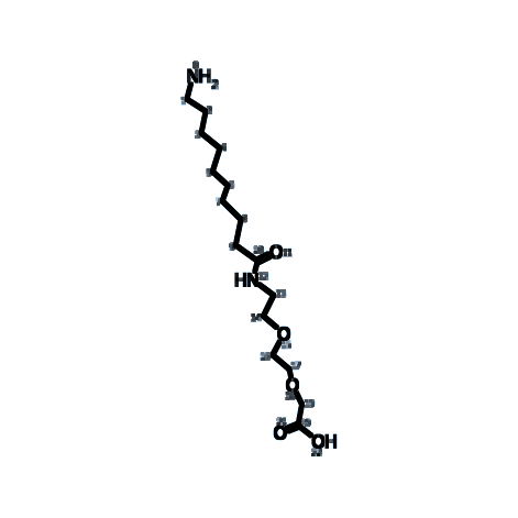 NCCCCCCCCCC(=O)NCCOCCOCC(=O)O